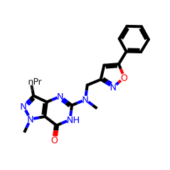 CCCc1nn(C)c2c(=O)[nH]c(N(C)Cc3cc(-c4ccccc4)on3)nc12